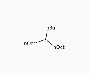 [CH2]CCCC(CCCCCCCC)CCCCCCCC